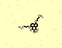 CCCCOc1ccc2c(OCCCC)ccc3c2c1C(=O)N(O)C3=O